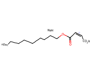 CCCCCCCCCCCCCCCCCCOC(=O)/C=C\C(=O)O.[NaH]